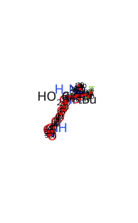 CC(C)(C)[C@H](c1cc(-c2cc(F)ccc2F)cn1Cc1ccccc1)N(CCCN)C(=O)CSCC(NC(=O)CCOCCOCCOCCOCCNC(=O)CN1C(=O)C=CC1=O)C(=O)O